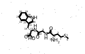 CSCC[C@H](N)C(=O)NCC(=O)N[C@@H](Cc1c[nH]c2ccccc12)C(=O)O